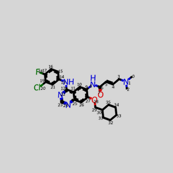 CN(C)C/C=C/C(=O)Nc1cc2c(Nc3ccc(F)c(Cl)c3)ncnc2cc1OCC1CCCCC1